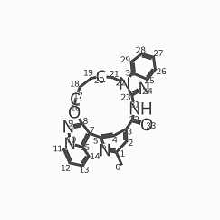 Cc1cc2cc(n1)-c1c(nn3ccccc13)OCCCCCn1c(nc3ccccc31)NC2=O